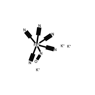 N#[C][Fe-3]([C]#N)([C]#N)([C]#N)([C]#N)[N]=O.[K+].[K+].[K+]